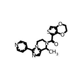 CC1c2cnc(-c3ccncc3)n2CCN1C(=O)c1scc2c1OCCO2